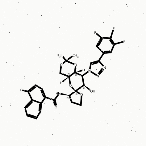 CC1(C)OC[C@H]2O[C@]3(OCC[C@H]3NC(=O)c3ccc(F)c4ccccc34)[C@H](O)C(n3cc(-c4cc(F)c(F)c(F)c4)nn3)[C@H]2O1